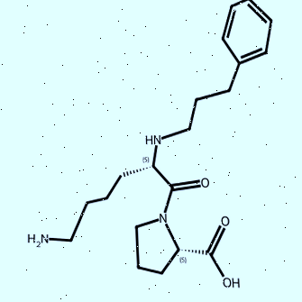 NCCCC[C@H](NCCCc1ccccc1)C(=O)N1CCC[C@H]1C(=O)O